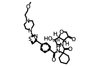 COCCN1CCN(c2nc(-c3ccc(C(=O)NC4(C(=O)N5C[C@H](O)[C@H]6OCC(=O)[C@H]65)CCCCC4)cc3)cs2)CC1